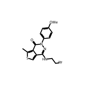 COc1ccc(-n2nc(NCC[18F])c3csc(C)c3c2=O)cc1